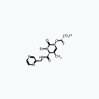 CCN1C(=O)N(O[C@@H](F)C(=O)O)C=C(C)[C@H]1C(=O)NCc1cnccn1